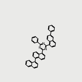 c1ccc(-c2ccc3c(-c4nc(-c5ccccc5)nc(-c5cccc6c(-c7cccc8ccccc78)cccc56)n4)cccc3c2)cc1